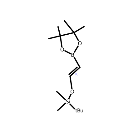 CC1(C)OB(/C=C/O[Si](C)(C)C(C)(C)C)OC1(C)C